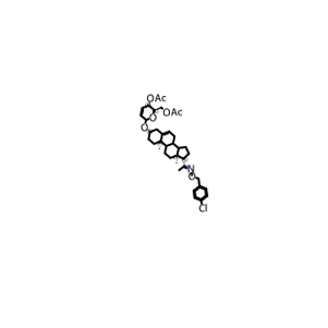 CC(=O)OC[C@H]1OC(O[C@H]2CC[C@@]3(C)C(=CCC4C3CC[C@@]3(C)C4CC[C@@H]3/C(C)=N/OCc3ccc(Cl)cc3)C2)C=C[C@@H]1OC(C)=O